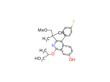 COCC(C)(C)c1nc(OC(C)C(=O)O)c2cc(O)ccc2c1-c1ccc(F)cc1